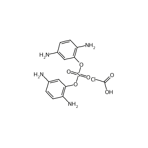 Nc1ccc(N)c(OS(=O)(=O)Oc2cc(N)ccc2N)c1.O=C(O)Cl